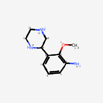 COc1c(N)cccc1C1CNCCN1